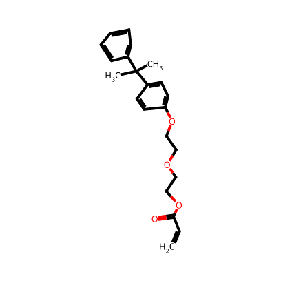 C=CC(=O)OCCOCCOc1ccc(C(C)(C)c2ccccc2)cc1